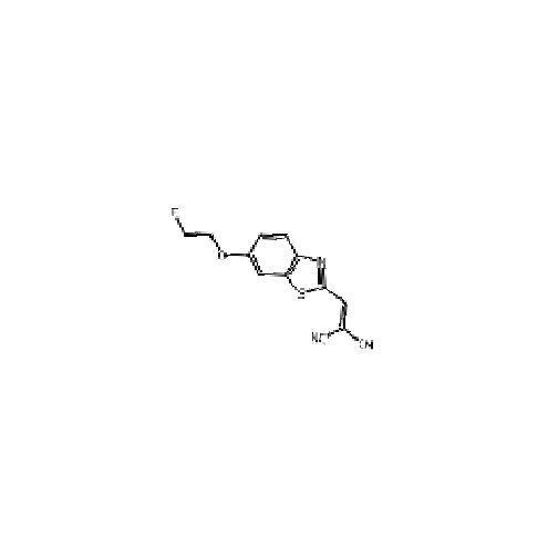 N#CC(C#N)=Cc1nc2ccc(OCCF)cc2s1